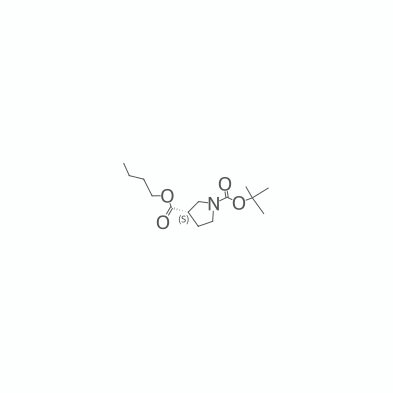 CCCCOC(=O)[C@H]1CCN(C(=O)OC(C)(C)C)C1